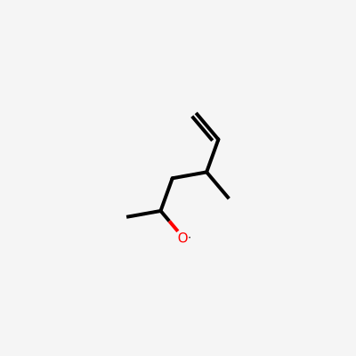 C=CC(C)CC(C)[O]